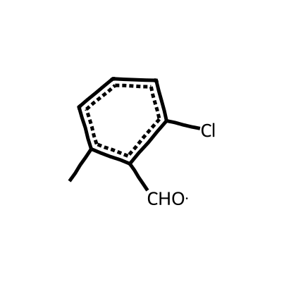 Cc1cccc(Cl)c1[C]=O